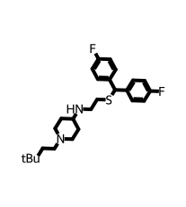 CC(C)(C)CCN1CCC(NCCSC(c2ccc(F)cc2)c2ccc(F)cc2)CC1